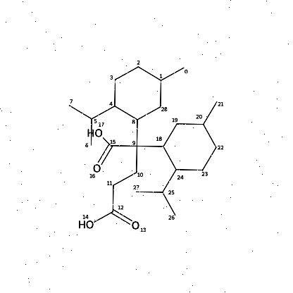 CC1CCC(C(C)C)C(C(CCC(=O)O)(C(=O)O)C2CC(C)CCC2C(C)C)C1